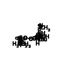 Cc1ncsc1-c1ccc(CNC(=O)[C@@H]2C[C@@H](O)CN2C(=O)[C@@H](NC(=O)COCCOCCCCOc2cc(F)c([C@@H]3c4[nH]c5ccccc5c4C[C@@H](C)N3CC(C)(C)F)c(F)c2)C(C)(C)C)cc1